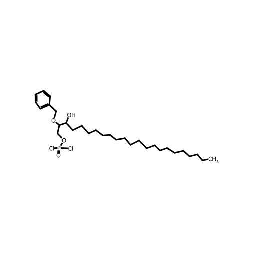 CCCCCCCCCCCCCCCCCCCCC(O)C(COP(=O)(Cl)Cl)OCc1ccccc1